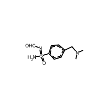 CN(C)Cc1ccc(S(N)(=O)=NC=O)cc1